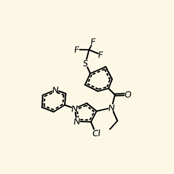 CCN(C(=O)c1ccc(SC(F)(F)F)cc1)c1cn(-c2cccnc2)nc1Cl